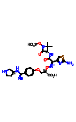 CC1(C)[C@H](NC(=O)/C(=N\O[C@@H](COc2ccc(C(=N)N[C@H]3CCNC3)cc2)C(=O)O)c2csc(N)n2)C(=O)N1OS(=O)(=O)O